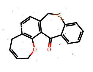 O=C1c2ccccc2SCc2ccc3c(c21)OCC=CC3